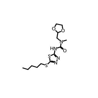 CCCCCSc1nnc(NC(=O)N(C)CC2OCCO2)s1